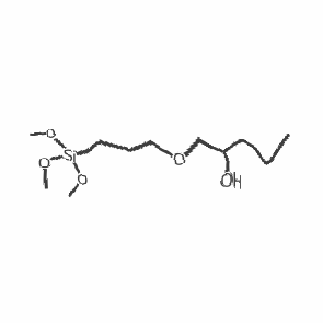 CCCC(O)COCCC[Si](OC)(OC)OC